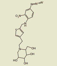 [N-]=[N+]=Nc1ccc(NCc2cc(CCN3CC(O)C(O)C(O)C3CO)cs2)c([N+](=O)[O-])c1